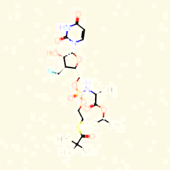 CC(C)OC(=O)[C@H](C)N[P@](=O)(OCCSC(=O)C(C)(C)C)OC[C@H]1O[C@@H](n2ccc(=O)[nH]c2=O)[C@H](O)[C@@H]1CF